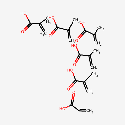 C=C(C)C(=O)O.C=C(C)C(=O)O.C=C(C)C(=O)O.C=C(C)C(=O)O.C=C(C)C(=O)O.C=CC(=O)O